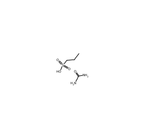 CCCS(=O)(=O)O.NC(N)=O